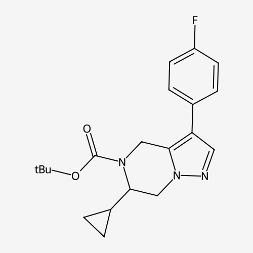 CC(C)(C)OC(=O)N1Cc2c(-c3ccc(F)cc3)cnn2CC1C1CC1